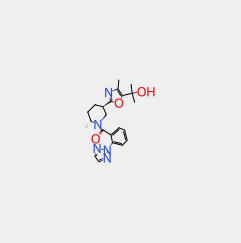 Cc1nc([C@@H]2CC[C@@H](C)N(C(=O)c3ccccc3-n3nccn3)C2)oc1C(C)(C)O